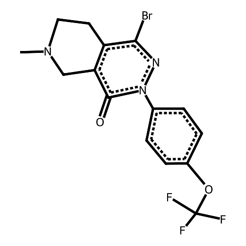 CN1CCc2c(Br)nn(-c3ccc(OC(F)(F)F)cc3)c(=O)c2C1